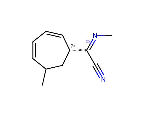 C/N=C(\C#N)[C@H]1C=CC=CC(C)C1